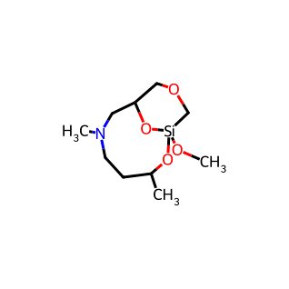 CO[Si]12COCC(CN(C)CCC(C)O1)O2